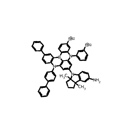 CC(C)(C)c1cccc(N2c3cc(C(C)(C)C)ccc3B3c4cc(-c5ccccc5)ccc4N(c4ccc(-c5ccccc5)cc4)c4cc(N5c6ccc(N)cc6C6(C)CCCC56C)cc2c43)c1